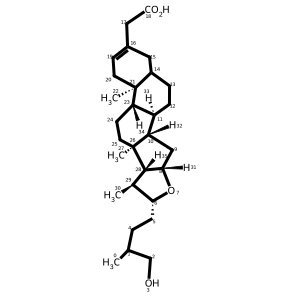 CC(CO)CC[C@H]1O[C@H]2C[C@H]3[C@@H]4CCC5CC(CC(=O)O)=CC[C@]5(C)[C@H]4CC[C@]3(C)[C@H]2[C@@H]1C